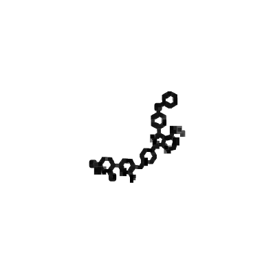 Nc1ncnc2c1c(-c1ccc(Oc3ccccc3)cc1)nn2C1CCN(Cc2ccc(C3CCC(=O)NC3=O)nc2F)CC1